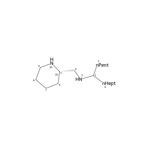 CCCCCCCC(CCCCC)NC[C@@H]1CCCCN1